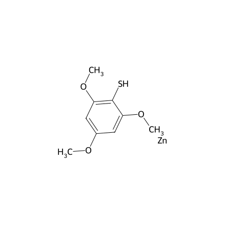 COc1cc(OC)c(S)c(OC)c1.[Zn]